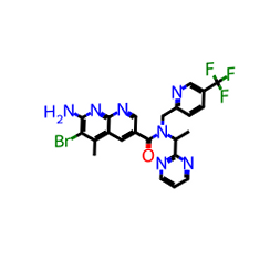 Cc1c(Br)c(N)nc2ncc(C(=O)N(Cc3ccc(C(F)(F)F)cn3)C(C)c3ncccn3)cc12